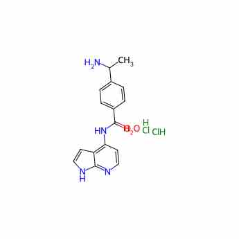 CC(N)c1ccc(C(=O)Nc2ccnc3[nH]ccc23)cc1.Cl.Cl.O